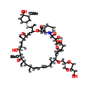 CO[C@@H]1C[C@H](C[C@@H](C)[C@@H]2CC(=O)[C@H](C)/C=C(\C)[C@@H](O)[C@@H](OC)C(=O)[C@H](C)C[C@H](C)/C=C/C=C/C=C(\C)C(OCC3COC(CO)CO3)C[C@@H]3CC[C@@H](C)[C@@](O)(O3)C(=O)C(=O)N3CCCC[C@H]3C(=O)O2)CC[C@H]1O